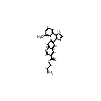 Cc1cccc(-c2[nH]cnc2-c2ccc3ncc(C(=O)OCCN)cc3c2)n1